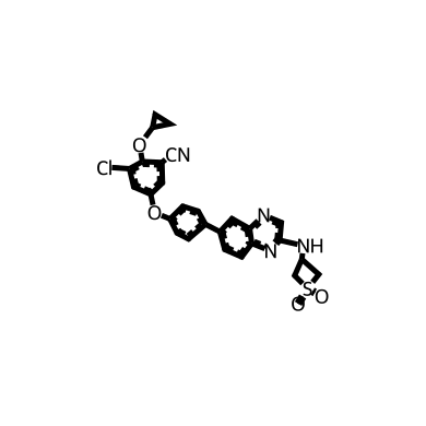 N#Cc1cc(Oc2ccc(-c3ccc4nc(NC5CS(=O)(=O)C5)cnc4c3)cc2)cc(Cl)c1OC1CC1